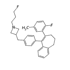 Cc1ccc(F)c(C2=C(c3ccc(CC4CN(CCCF)C4)cc3)c3ccccc3CCC2)c1